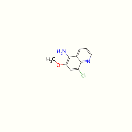 COc1cc(Cl)c2ncccc2c1N